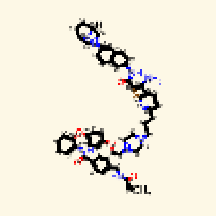 C=CC(=O)NCc1ccc(C(=O)Nc2ccccc2Oc2ccc(OCCN3CCN(CCCc4ccc5c(N)c(C(=O)NC6CCc7cc(N8CC9CC[C@H](C8)N9)ccc7C6)sc5n4)CC3)cc2)cc1